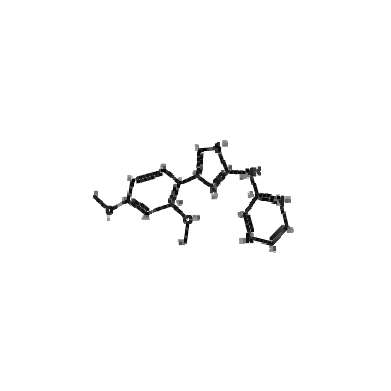 COc1ccc(-c2csc(Nc3cnccn3)n2)c(OC)c1